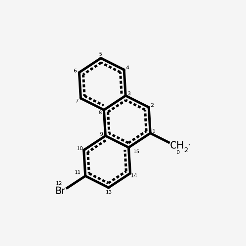 [CH2]c1cc2ccccc2c2cc(Br)ccc12